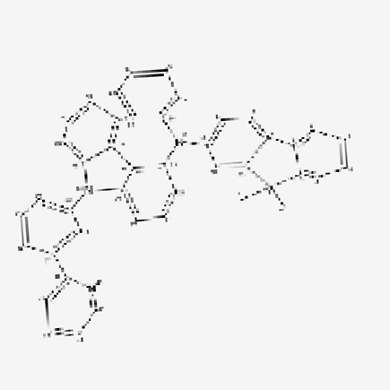 CC1(C)c2ccccc2-c2ccc(N(c3ccccc3)c3cccc4c3c3ccccc3n4-c3cccc(-c4ccccn4)c3)cc21